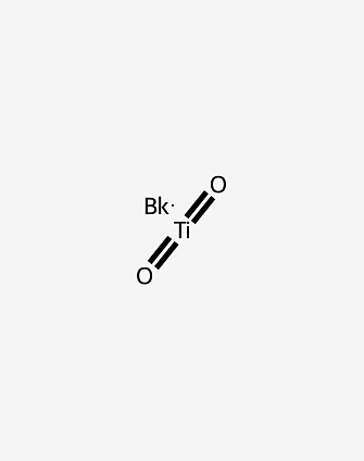 [Bk].[O]=[Ti]=[O]